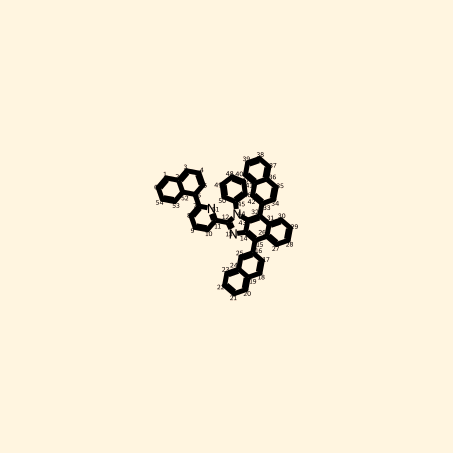 C1=CC2=CC=CC(c3cccc(-c4nc5c(-c6ccc7ccccc7c6)c6ccccc6c(-c6ccc7ccccc7c6)c5n4-c4ccccc4)n3)C2C=C1